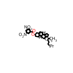 CC(C)CCCC(C)[C@H]1CC[C@H]2C3CC=C4C[C@@H](OC(=O)c5cc([N+](=O)[O-])cc([N+](=O)[O-])c5)CC[C@]4(C)[C@H]3CC[C@]12C